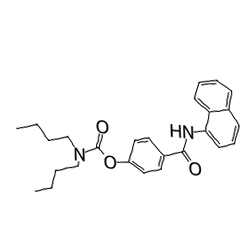 CCCCN(CCCC)C(=O)Oc1ccc(C(=O)Nc2cccc3ccccc23)cc1